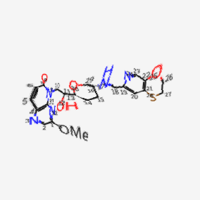 COc1cnc2ccc(=O)n(C[C@H](O)[C@@H]3CC[C@@H](NCc4cc5c(cn4)OCCS5)CO3)c2n1